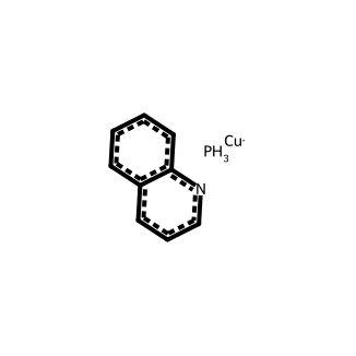 P.[Cu].c1ccc2ncccc2c1